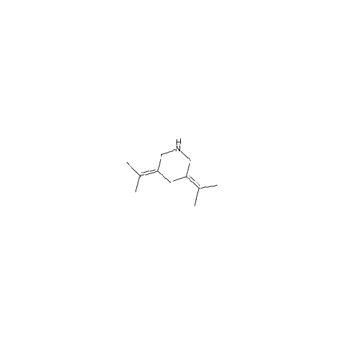 CC(C)=C1CNCC(=C(C)C)C1